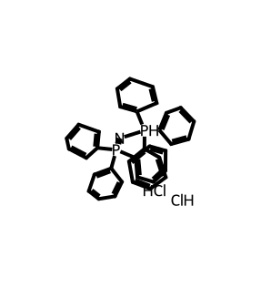 Cl.Cl.c1ccc(P(=N[PH](c2ccccc2)(c2ccccc2)c2ccccc2)(c2ccccc2)c2ccccc2)cc1